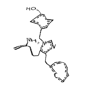 C=C(N)Cc1c(Cc2ccccc2)ncn1Cc1cccc(O)c1